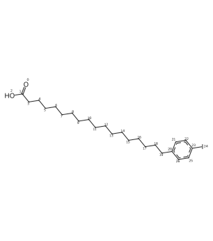 O=C(O)CCCCCCCCCCCCCCCCCc1ccc(I)cc1